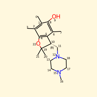 Cc1c(C)c2c(c(C)c1O)[C@H](CN1CCN(C)CC1)C(C)(C)O2